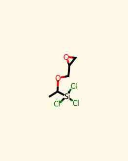 CC(OCC1CO1)[Si](Cl)(Cl)Cl